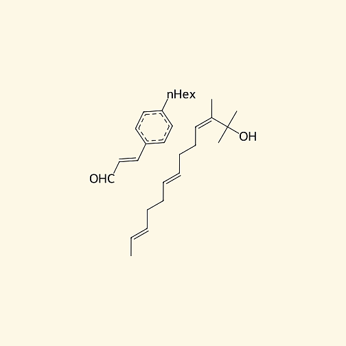 CC=CCCC=CCCC=C(C)C(C)(C)O.CCCCCCc1ccc(C=CC=O)cc1